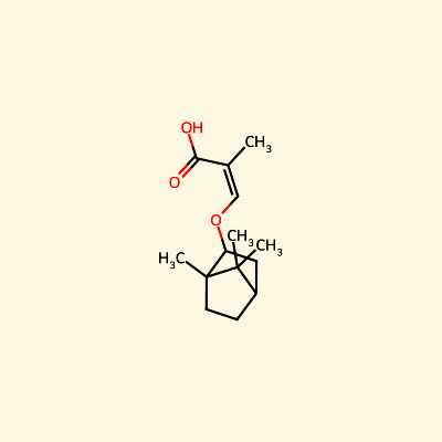 CC(=COC1CC2CCC1(C)C2(C)C)C(=O)O